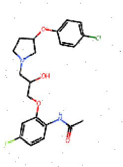 CC(=O)Nc1ccc(F)cc1OCC(O)CN1CC[C@@H](Oc2ccc(Cl)cc2)C1